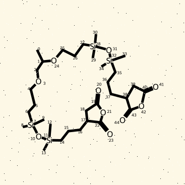 CC(COCCC[Si](C)(C)O[Si](C)(C)CCCC1CC(=O)OC1=O)OCCC[Si](C)(C)O[Si](C)(C)CCCC1CC(=O)OC1=O